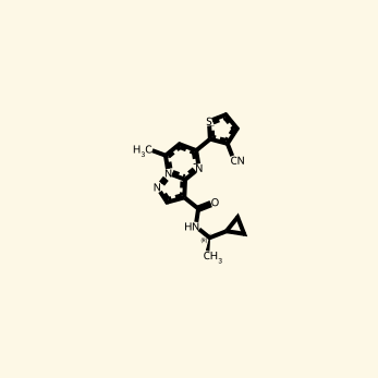 Cc1cc(-c2sccc2C#N)nc2c(C(=O)N[C@H](C)C3CC3)cnn12